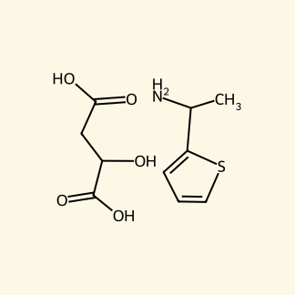 CC(N)c1cccs1.O=C(O)CC(O)C(=O)O